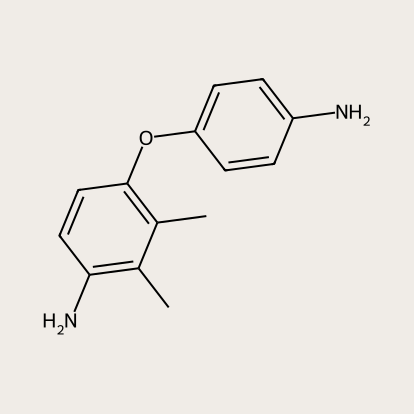 Cc1c(N)ccc(Oc2ccc(N)cc2)c1C